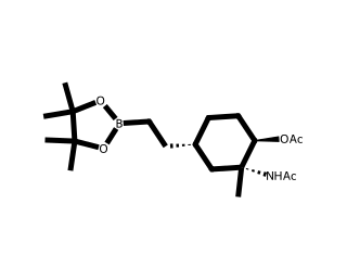 CC(=O)N[C@]1(C)C[C@H](CCB2OC(C)(C)C(C)(C)O2)CC[C@H]1OC(C)=O